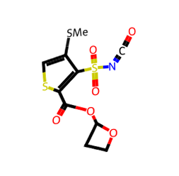 CSc1csc(C(=O)OC2CCO2)c1S(=O)(=O)N=C=O